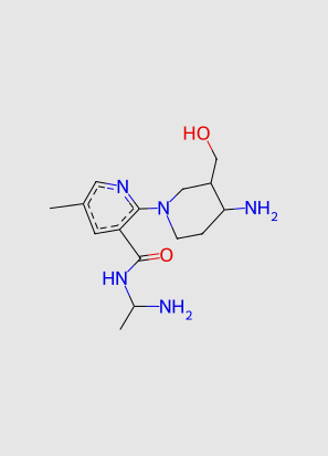 Cc1cnc(N2CCC(N)C(CO)C2)c(C(=O)NC(C)N)c1